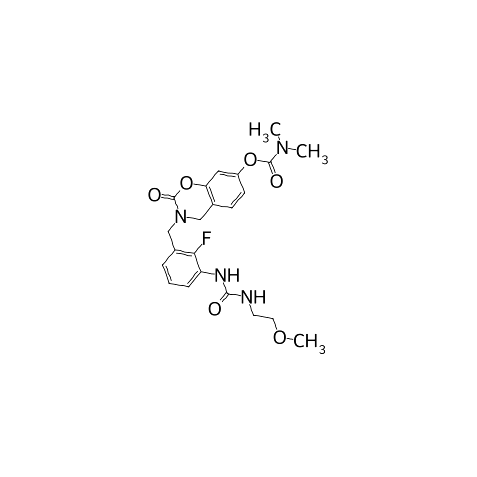 COCCNC(=O)Nc1cccc(CN2Cc3ccc(OC(=O)N(C)C)cc3OC2=O)c1F